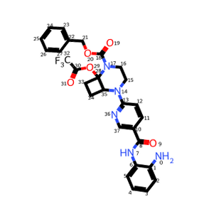 Nc1ccccc1NC(=O)c1ccc(N2CCN(C(=O)OCc3ccccc3)C3(OC(=O)C(F)(F)F)CCC23)nc1